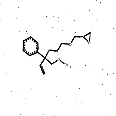 C=CC(CCCOCC1CO1)(CO[SiH3])c1ccccc1